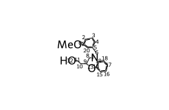 COc1cccc(CN2CC(CCO)Oc3ccccc32)c1